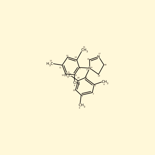 Cc1cc(C)c([N+]2(c3c(C)cc(C)cc3C)[C]=NCC2)c(C)c1